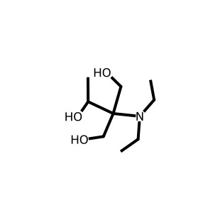 CCN(CC)C(CO)(CO)C(C)O